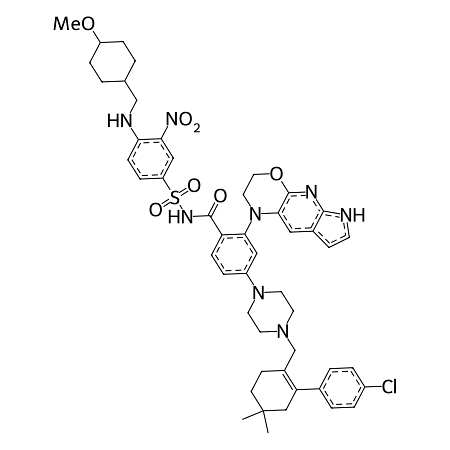 COC1CCC(CNc2ccc(S(=O)(=O)NC(=O)c3ccc(N4CCN(CC5=C(c6ccc(Cl)cc6)CC(C)(C)CC5)CC4)cc3N3CCOc4nc5[nH]ccc5cc43)cc2[N+](=O)[O-])CC1